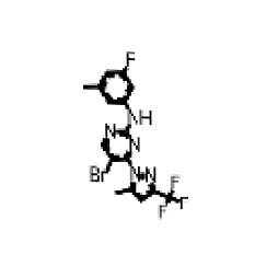 Cc1cc(F)cc(Nc2ncc(Br)c(-n3nc(C(F)(F)F)cc3C)n2)c1